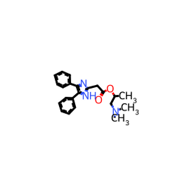 CC(CN(C)C)OC(=O)Cc1nc(-c2ccccc2)c(-c2ccccc2)[nH]1